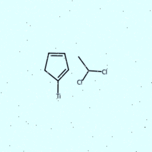 CC(Cl)Cl.[Ti][C]1=CC=CC1